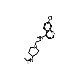 C/C=N\C1CCN(CCNc2ccnc3cc(Cl)ccc23)CC1